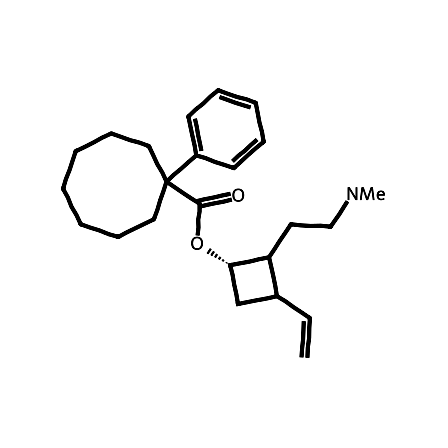 C=CC1C[C@H](OC(=O)C2(c3ccccc3)CCCCCCC2)C1CCNC